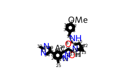 COc1ccc(CNC(=O)[C@@H]2C[C@@]3(C)C[C@H]3N2C(=O)CC2(C(C)=O)N=Nc3c(C)cc(-c4cnc(C)nc4)cc32)cc1